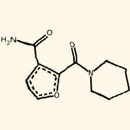 NC(=O)c1ccoc1C(=O)N1CCCCC1